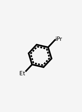 [CH2]C(C)c1ccc(CC)cc1